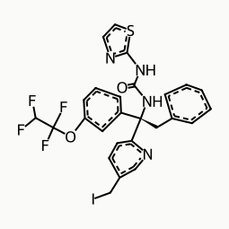 O=C(Nc1nccs1)N[C@@](Cc1ccccc1)(c1cccc(OC(F)(F)C(F)F)c1)c1ccc(CI)cn1